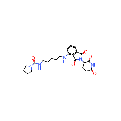 O=C1CCC(N2C(=O)c3cccc(NCCCCCNC(=O)N4CCCC4)c3C2=O)C(=O)N1